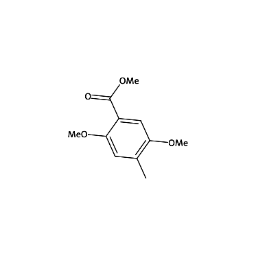 COC(=O)c1cc(OC)c(C)cc1OC